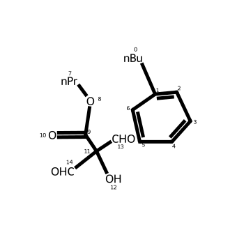 CCCCc1ccccc1.CCCOC(=O)C(O)(C=O)C=O